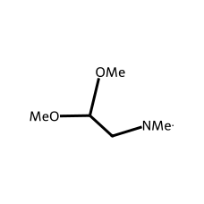 C[N]CC(OC)OC